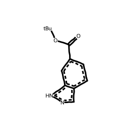 CC(C)(C)OC(=O)c1ccc2cn[nH]c2c1